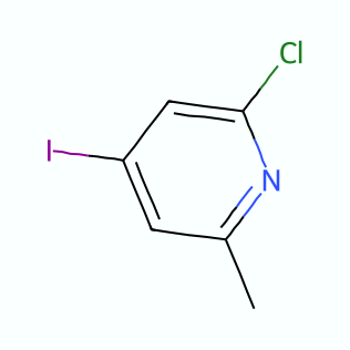 Cc1cc(I)cc(Cl)n1